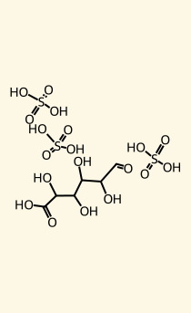 O=CC(O)C(O)C(O)C(O)C(=O)O.O=S(=O)(O)O.O=S(=O)(O)O.O=S(=O)(O)O